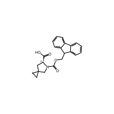 O=C(O)[C@@H]1CC2(CC2)CN1C(=O)OCC1c2ccccc2-c2ccccc21